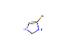 BrC1=CNCN1